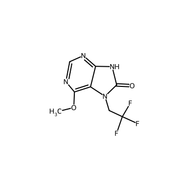 COc1ncnc2[nH]c(=O)n(CC(F)(F)F)c12